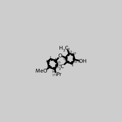 COc1ccc(Oc2c(C)cc(O)cc2C)cc1C(C)C